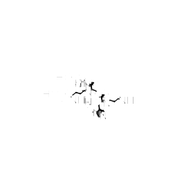 Cn1cncc1C[C@H](NCCCN)C(=O)SCC(NC(=O)CCC(N)C(=O)O)C(=O)NCC(=O)O